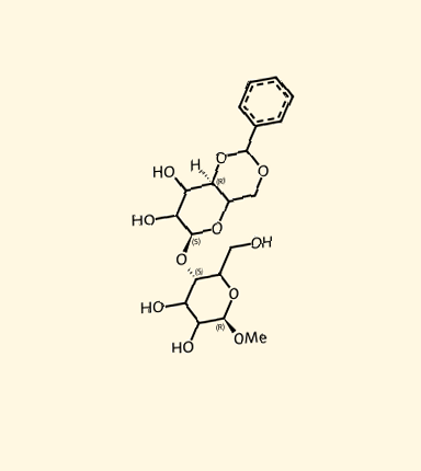 CO[C@@H]1OC(CO)[C@@H](O[C@@H]2OC3COC(c4ccccc4)O[C@@H]3C(O)C2O)C(O)C1O